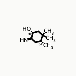 C[C@H]1CC(=N)[C@H](O)CC1(C)C